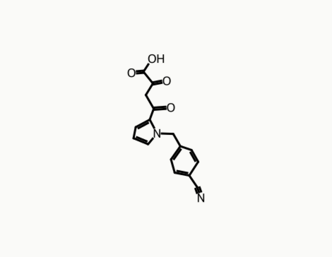 N#Cc1ccc(Cn2cccc2C(=O)CC(=O)C(=O)O)cc1